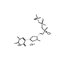 C=C1NC(C)N(C)C=C1[C@@H]1C[C@H](CCP(C)(=O)CP(C)(=O)CP(=C)(C)C)C(C)[C@@H]1O